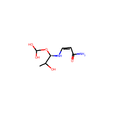 CC(O)[C@H](N/C=C\C(N)=O)OC(O)O